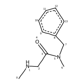 CNCC(=O)N(C)Cc1ccccc1